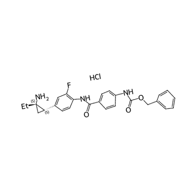 CC[C@]1(N)C[C@H]1c1ccc(NC(=O)c2ccc(NC(=O)OCc3ccccc3)cc2)c(F)c1.Cl